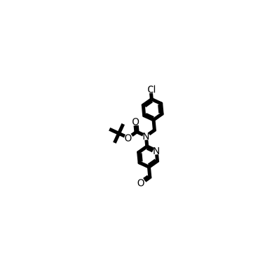 CC(C)(C)OC(=O)N(Cc1ccc(Cl)cc1)c1ccc(C=O)cn1